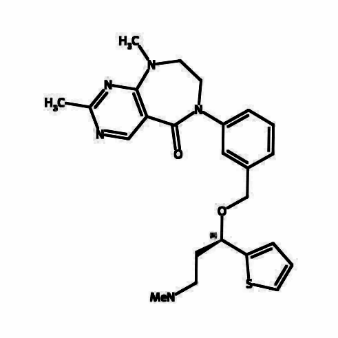 CNCC[C@@H](OCc1cccc(N2CCN(C)c3nc(C)ncc3C2=O)c1)c1cccs1